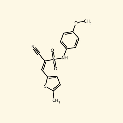 COc1ccc(NS(=O)(=O)/C(C#N)=C\c2ccc(C)s2)cc1